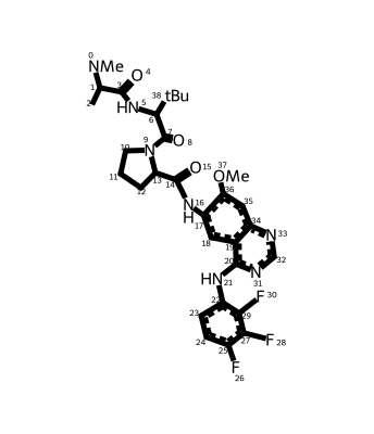 CNC(C)C(=O)NC(C(=O)N1CCCC1C(=O)Nc1cc2c(Nc3ccc(F)c(F)c3F)ncnc2cc1OC)C(C)(C)C